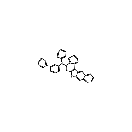 c1ccc(-c2cccc(N(c3ccccc3)c3cc4sc5cc6ccccc6cc5c4c4ccccc34)c2)cc1